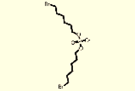 [O]P(=O)(OCCCCCCBr)OCCCCCCBr